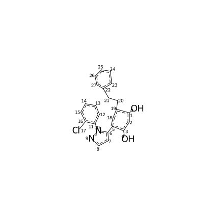 Oc1cc(O)c(-c2ccnn2-c2ccccc2Cl)cc1CCc1ccccc1